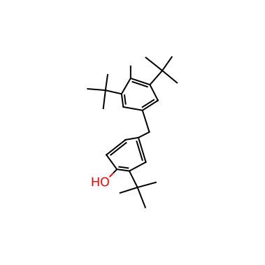 Cc1c(C(C)(C)C)cc(Cc2ccc(O)c(C(C)(C)C)c2)cc1C(C)(C)C